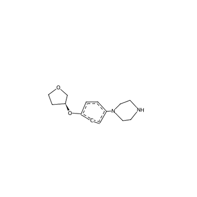 c1cc(N2CCNCC2)ccc1O[C@H]1CCOC1